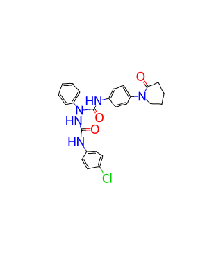 O=C(Nc1ccc(Cl)cc1)NN(C(=O)Nc1ccc(N2CCCCC2=O)cc1)c1ccccc1